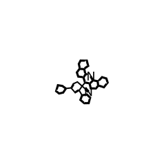 N#CC1(c2c3ccc4ccccc4c3nc3c2ccc2ccccc23)CC=C(c2ccccc2)C=C1c1ccccc1